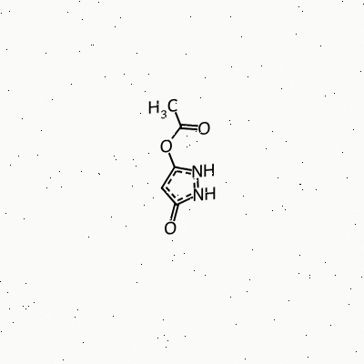 CC(=O)Oc1cc(=O)[nH][nH]1